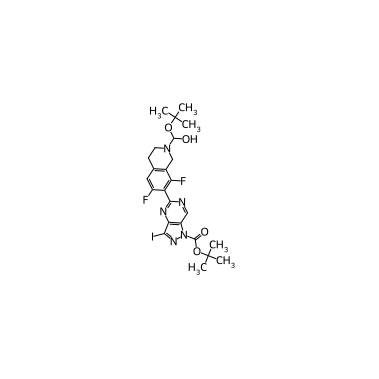 CC(C)(C)OC(=O)n1nc(I)c2nc(-c3c(F)cc4c(c3F)CN(C(O)OC(C)(C)C)CC4)ncc21